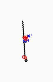 CCCCCCCCCCCCCCCCCCOCC(CNCCCCCCCCCCCCCCCCC(=O)OCc1ccccc1)OP(=O)([O-])OCC[N+](C)(C)C